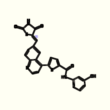 O=C1NC(=O)/C(=C/c2ccc3nccc(-c4ccc(C(=O)Nc5cccc(O)c5)s4)c3c2)S1